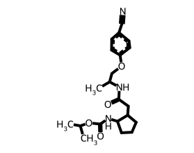 CC(COc1ccc(C#N)cc1)NC(=O)CC1CCCC1NC(=O)OC(C)C